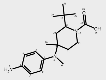 CN(c1ccc(N)cc1)C1(C)CCN(C(=O)O)C(C(C)(C)C)C1